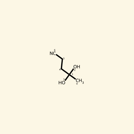 CC(O)(O)CCC#N